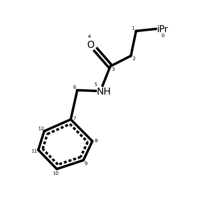 CC(C)CCC(=O)NCc1ccccc1